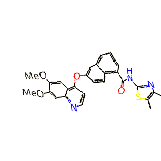 COc1cc2nccc(Oc3ccc4c(C(=O)Nc5nc(C)c(C)s5)cccc4c3)c2cc1OC